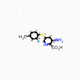 Cc1ccc(Sc2cnc(C(=O)O)c(N)c2)c(F)c1